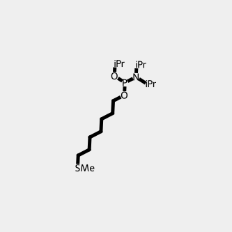 CSCCCCCCCOP(OC(C)C)N(C(C)C)C(C)C